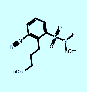 CCCCCCCCCCCCCc1c([N+]#N)cccc1S(=O)(=O)N(F)CCCCCCCC